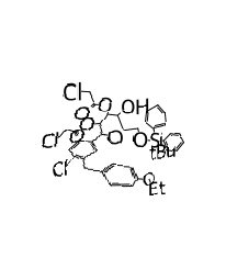 CCOc1ccc(Cc2cc(C3OC(CO[Si](c4ccccc4)(c4ccccc4)C(C)(C)C)C(O)C(OC(=O)CCl)C3OC(=O)CCl)ccc2Cl)cc1